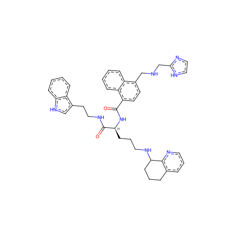 O=C(N[C@@H](CCCNC1CCCc2cccnc21)C(=O)NCCc1c[nH]c2ccccc12)c1ccc(CNCc2ncc[nH]2)c2ccccc12